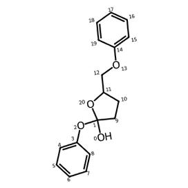 OC1(Oc2ccccc2)CCC(COc2ccccc2)O1